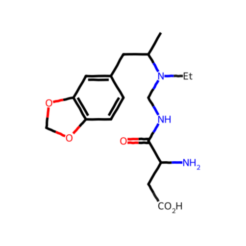 CCN(CNC(=O)C(N)CC(=O)O)C(C)Cc1ccc2c(c1)OCO2